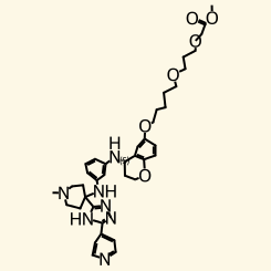 COC(=O)COCCCOCCCCCOc1ccc2c(c1)[C@@H](Nc1cccc(NC3(c4nnc(-c5ccncc5)[nH]4)CCN(C)CC3)c1)CCO2